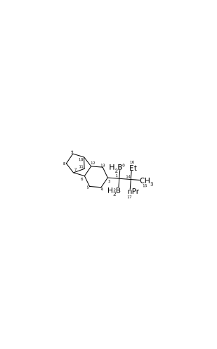 BC(B)(C1CCC2C3CCC(C3)C2C1)C(C)(CC)CCC